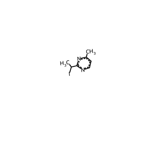 Cc1ccnc(C(C)I)n1